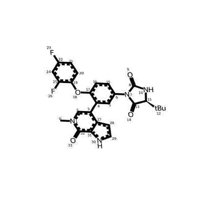 Cn1cc(-c2cc(N3C(=O)N[C@@H](C(C)(C)C)C3=O)ccc2Oc2ccc(F)cc2F)c2cc[nH]c2c1=O